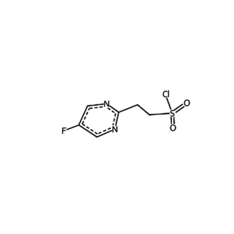 O=S(=O)(Cl)CCc1ncc(F)cn1